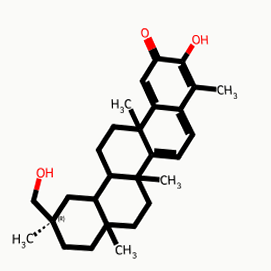 CC1=C(O)C(=O)C=C2C1=CC=C1C2(C)CCC2C3C[C@](C)(CO)CCC3(C)CCC12C